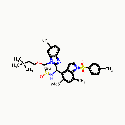 CSc1cc(C)c2c(ccn2S(=O)(=O)c2ccc(C)cc2)c1C(N[S+]([O-])C(C)(C)C)c1nc2ccc(C#N)cc2n1COCC[Si](C)(C)C